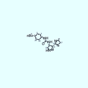 CCCCc1ccc(NC(=O)Nc2c[nH]nc2-c2nccs2)cc1